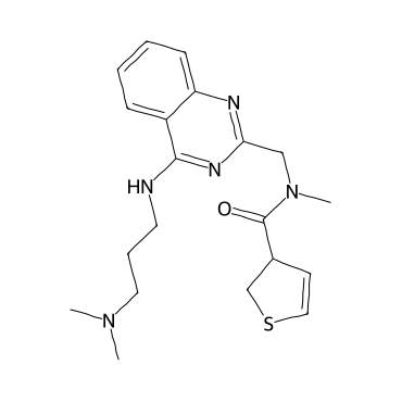 CN(C)CCCNc1nc(CN(C)C(=O)C2C=CSC2)nc2ccccc12